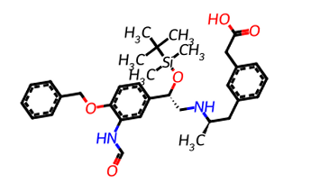 C[C@H](Cc1cccc(CC(=O)O)c1)NC[C@@H](O[Si](C)(C)C(C)(C)C)c1ccc(OCc2ccccc2)c(NC=O)c1